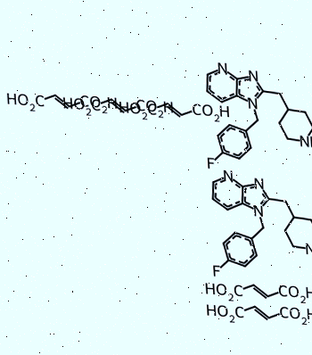 Fc1ccc(Cn2c(CC3CCNCC3)nc3ncccc32)cc1.Fc1ccc(Cn2c(CC3CCNCC3)nc3ncccc32)cc1.O=C(O)C=CC(=O)O.O=C(O)C=CC(=O)O.O=C(O)C=CC(=O)O.O=C(O)C=CC(=O)O.O=C(O)C=CC(=O)O